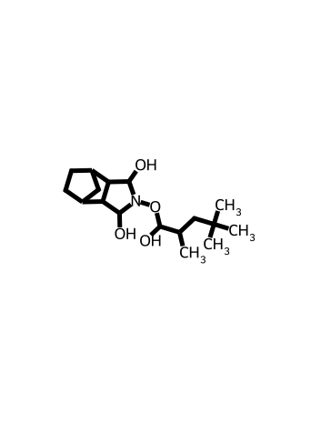 CC(CC(C)(C)C)C(O)ON1C(O)C2C3CCC(C3)C2C1O